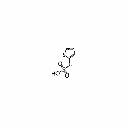 O=S(=O)(O)[CH]c1cccs1